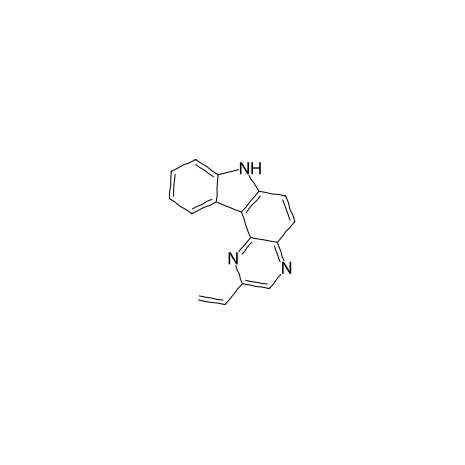 C=Cc1cnc2ccc3[nH]c4ccccc4c3c2n1